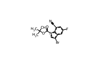 CC(C)(C)OC(=O)n1cc(Br)c2cc(F)cc(C#N)c21